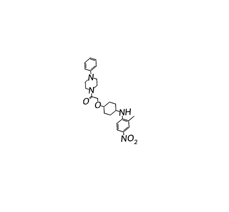 Cc1cc([N+](=O)[O-])ccc1NC1CCC(OCC(=O)N2CCN(c3ccccc3)CC2)CC1